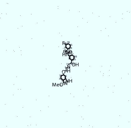 COc1n[nH]c2cc(OCCNCC(O)c3cccc(NS(=O)(=O)c4cccc(F)c4)c3)ccc12